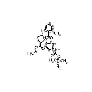 CCOC(=O)C1CCCN(C(=O)c2c(C)cccc2F)[C@H]1c1ccc(NC(=O)OC(C)(C)C)cc1